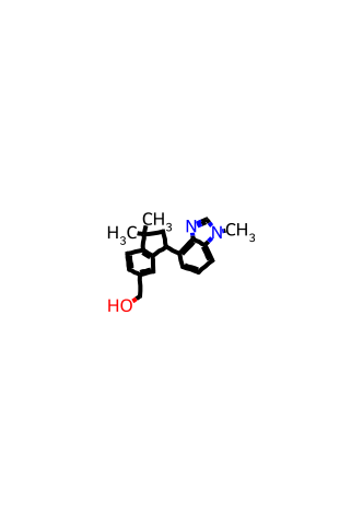 Cn1cnc2c(C3CC(C)(C)c4ccc(CO)cc43)cccc21